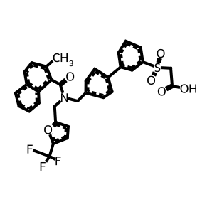 Cc1ccc2ccccc2c1C(=O)N(Cc1ccc(-c2cccc(S(=O)(=O)CC(=O)O)c2)cc1)Cc1ccc(C(F)(F)F)o1